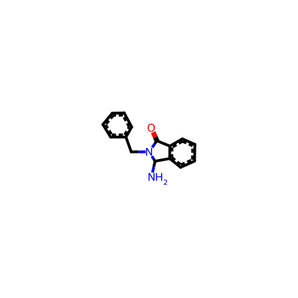 NC1c2ccccc2C(=O)N1Cc1ccccc1